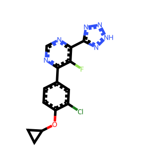 Fc1c(-c2ccc(OC3CC3)c(Cl)c2)ncnc1-c1nn[nH]n1